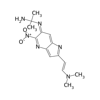 CN(C)/C=C/C1=NC2=C/C(=N/C(C)(C)N)C([N+](=O)[O-])=NC2=C1